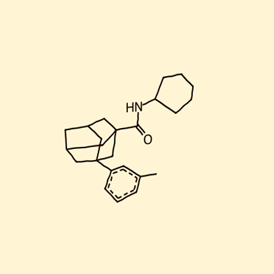 Cc1cccc(C23CC4CC(CC(C(=O)NC5CCCCC5)(C4)C2)C3)c1